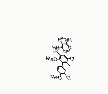 COc1ccc(-c2c(C)c(Cl)cc(C(C)Nc3ncnc4[nH]cnc34)c2OC)cc1Cl